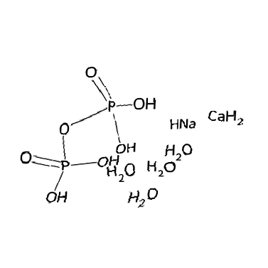 O.O.O.O.O=P(O)(O)OP(=O)(O)O.[CaH2].[NaH]